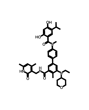 CCN(c1cc(-c2ccc(N(C)C(=O)c3cc(C(C)C)c(O)cc3O)cc2)cc(C(=O)NCc2c(C)cc(C)[nH]c2=O)c1C)C1CCOCC1